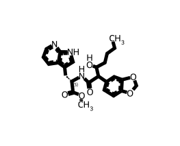 CCCCC(O)C(C(=O)N[C@@H](Cc1c[nH]c2ncccc12)C(=O)OC)c1ccc2c(c1)OCO2